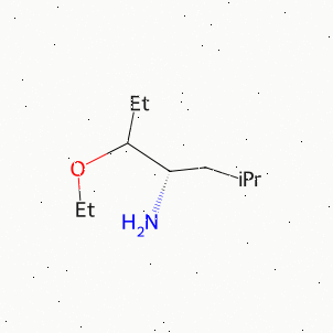 CCOC(CC)[C@@H](N)CC(C)C